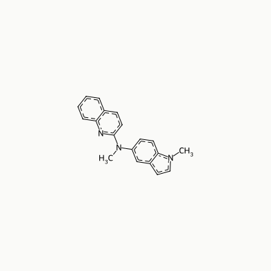 CN(c1ccc2c(ccn2C)c1)c1ccc2ccccc2n1